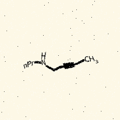 CC#CCNCCC